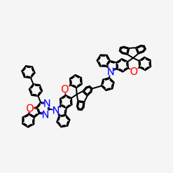 c1ccc(-c2ccc(-c3nc(-n4c5ccccc5c5cc6c(cc54)Oc4ccccc4C64c5ccccc5-c5cc(-c6cccc(-n7c8ccccc8c8cc9c(cc87)Oc7ccccc7C97c8ccccc8-c8ccccc87)c6)ccc54)nc4c3oc3ccccc34)cc2)cc1